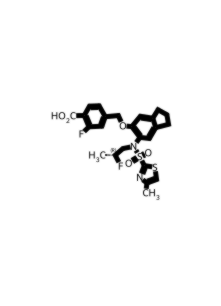 Cc1csc(S(=O)(=O)N(C[C@@H](C)F)c2cc3c(cc2OCc2ccc(C(=O)O)c(F)c2)CCC3)n1